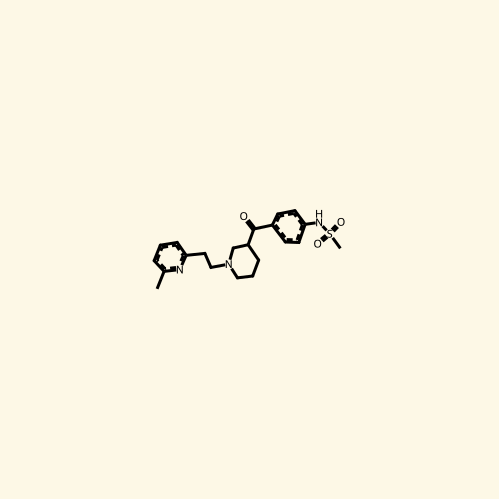 Cc1cccc(CCN2CCCC(C(=O)c3ccc(NS(C)(=O)=O)cc3)C2)n1